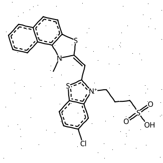 CN1C(=Cc2sc3ccc(Cl)cc3[n+]2CCCS(=O)(=O)O)Sc2ccc3ccccc3c21